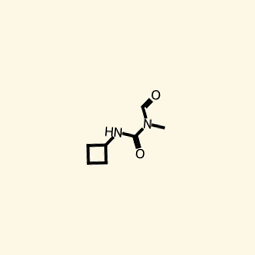 CN(C=O)C(=O)NC1CCC1